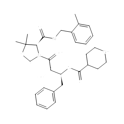 Cc1ccccc1CNC(=O)[C@H]1N(C(=O)[C@@H](O)[C@H](Cc2ccccc2)NC(=O)C2CCNCC2)CSC1(C)C